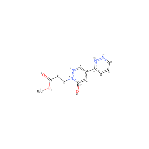 CC(C)(C)OC(=O)CCn1ncc(-c2cccnn2)cc1=O